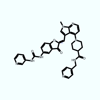 Cn1cc(/C=C2\Oc3ccc(NC(=O)Nc4cccnc4)cc3C2=O)c2c(N3CCC(C(=O)NCc4ccncc4)CC3)ccnc21